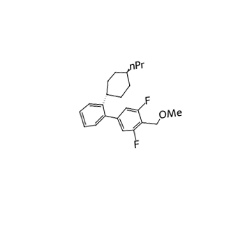 CCC[C@H]1CC[C@H](c2ccccc2-c2cc(F)c(COC)c(F)c2)CC1